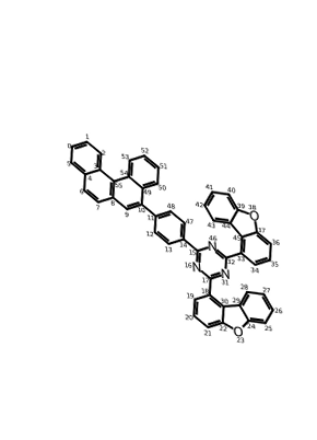 c1ccc2c(c1)ccc1cc(-c3ccc(-c4nc(-c5cccc6oc7ccccc7c56)nc(-c5cccc6oc7ccccc7c56)n4)cc3)c3ccccc3c12